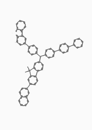 CC1(C)c2cc(-c3ccc4ccccc4c3)ccc2-c2ccc(C(c3ccc(-c4ccc(-c5ccccc5)cc4)cc3)c3ccc(-c4ccc5oc6ccccc6c5c4)cc3)cc21